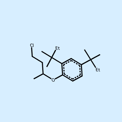 CCC(C)(C)c1ccc(OC(C)CCCl)c(C(C)(C)CC)c1